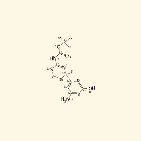 CC(C)(C)OC(=O)NC1=NC(C)(c2cc(N)cc(O)c2)CCS1